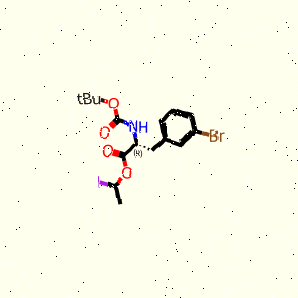 CC(I)OC(=O)[C@@H](Cc1cccc(Br)c1)NC(=O)OC(C)(C)C